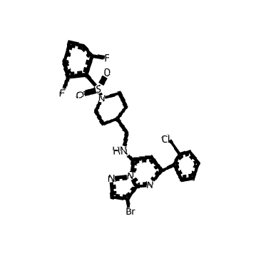 O=S(=O)(c1c(F)cccc1F)N1CCC(CNc2cc(-c3ccccc3Cl)nc3c(Br)cnn23)CC1